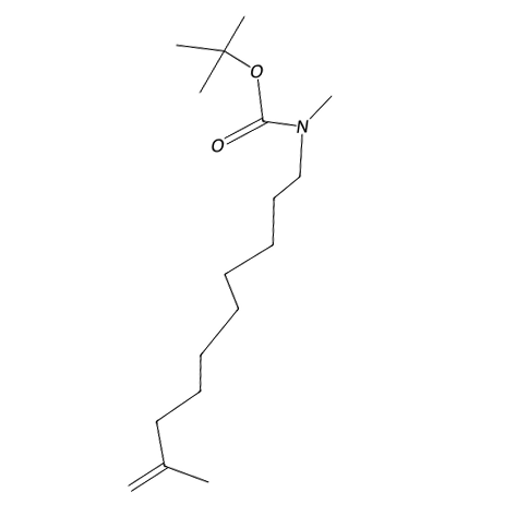 C=C(C)CCCCCCCCN(C)C(=O)OC(C)(C)C